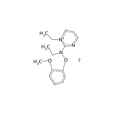 CCN(Oc1ccccc1OC)c1nccc[n+]1CC.[I-]